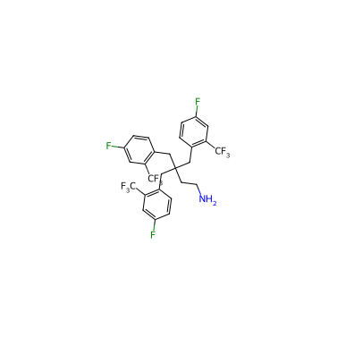 NCCC(Cc1ccc(F)cc1C(F)(F)F)(Cc1ccc(F)cc1C(F)(F)F)Cc1ccc(F)cc1C(F)(F)F